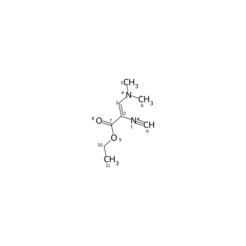 C#[N+]/C(=C\N(C)C)C(=O)OCC